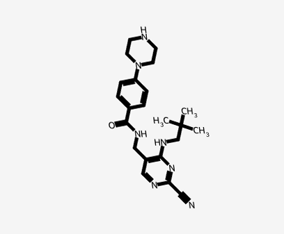 CC(C)(C)CNc1nc(C#N)ncc1CNC(=O)c1ccc(N2CCNCC2)cc1